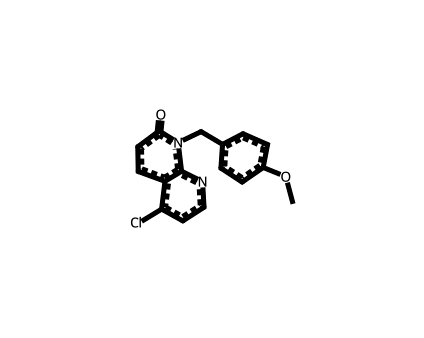 COc1ccc(Cn2c(=O)ccc3c(Cl)ccnc32)cc1